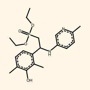 CCOP(=O)(CC(Nc1ccc(C)nc1)c1ccc(C)c(O)c1C)OCC